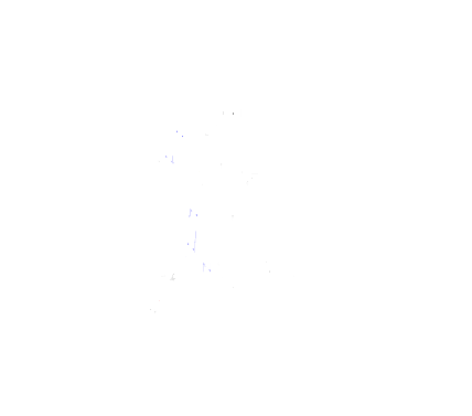 Cc1nnsc1C.N#Cc1ccccc1CN1NC1=O